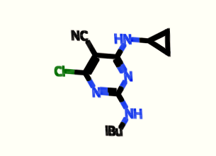 CCC(C)Nc1nc(Cl)c(C#N)c(NC2CC2)n1